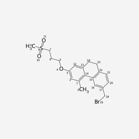 Cc1cc(OCCCS(C)(=O)=O)cc2c1-c1cc(CBr)ccc1CC2